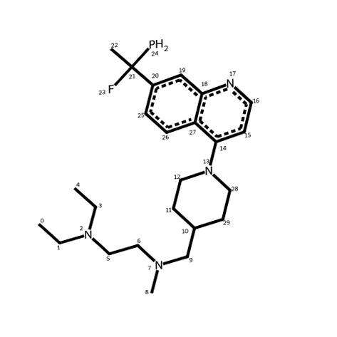 CCN(CC)CCN(C)CC1CCN(c2ccnc3cc(C(C)(F)P)ccc23)CC1